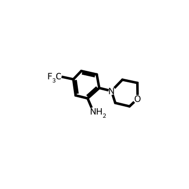 Nc1cc(C(F)(F)F)ccc1N1CCOCC1